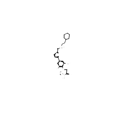 O=C1CN(c2c(O)cc(-c3ccc(C(=O)NCCC4CCCCC4)o3)cc2F)S(=O)(=O)N1